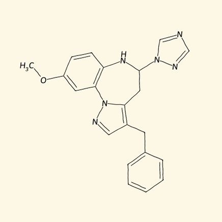 COc1ccc2c(c1)-n1ncc(Cc3ccccc3)c1CC(n1cncn1)N2